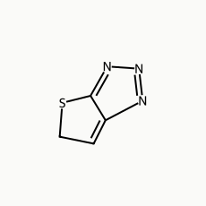 C1=C2N=NN=C2SC1